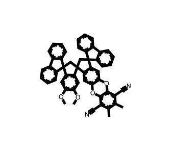 COc1cc2c(cc1OC)C1(CC23CC2(c4ccccc4-c4ccccc42)c2cc4c(cc23)Oc2c(C#N)c(C)c(C)c(C#N)c2O4)c2ccccc2-c2ccccc21